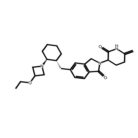 C=C1CCC(N2Cc3cc(C[C@H]4CCCC[C@@H]4N4CC(OCC)C4)ccc3C2=O)C(=O)N1